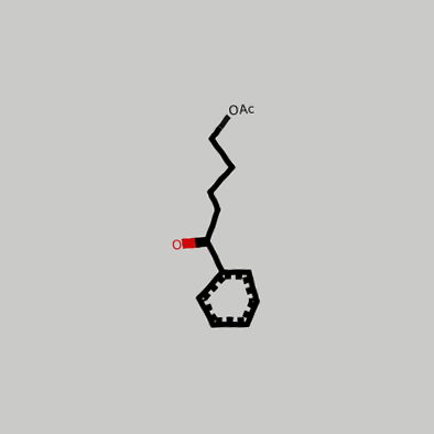 CC(=O)OCCCCC(=O)c1ccccc1